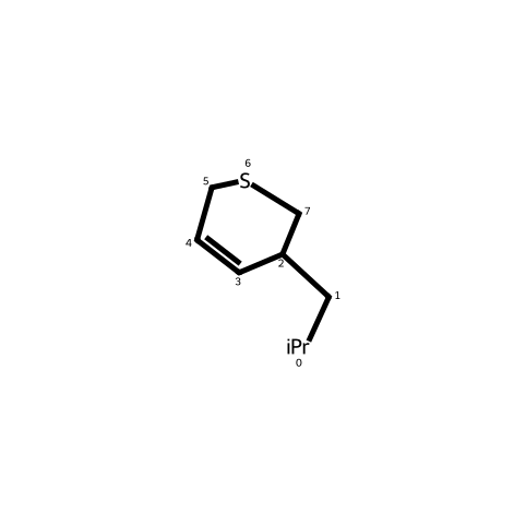 CC(C)CC1C=CCSC1